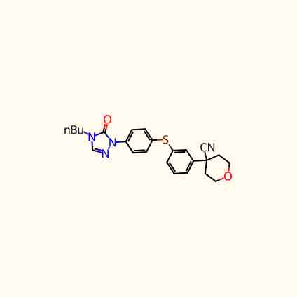 CCCCn1cnn(-c2ccc(Sc3cccc(C4(C#N)CCOCC4)c3)cc2)c1=O